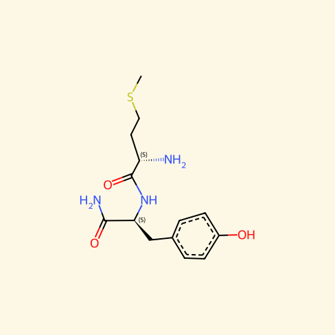 CSCC[C@H](N)C(=O)N[C@@H](Cc1ccc(O)cc1)C(N)=O